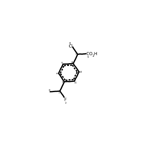 CC(F)c1ccc(C(Cl)C(=O)O)cc1